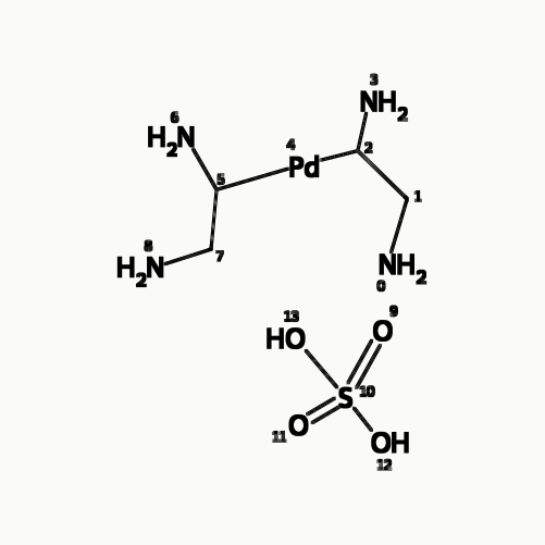 NC[CH](N)[Pd][CH](N)CN.O=S(=O)(O)O